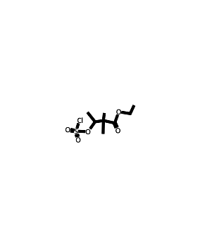 CCOC(=O)C(C)(C)C(C)OS(=O)(=O)Cl